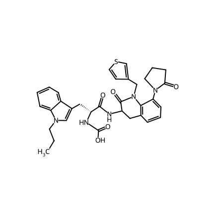 CCCn1cc(C[C@@H](NC(=O)O)C(=O)NC2Cc3cccc(N4CCCC4=O)c3N(Cc3ccsc3)C2=O)c2ccccc21